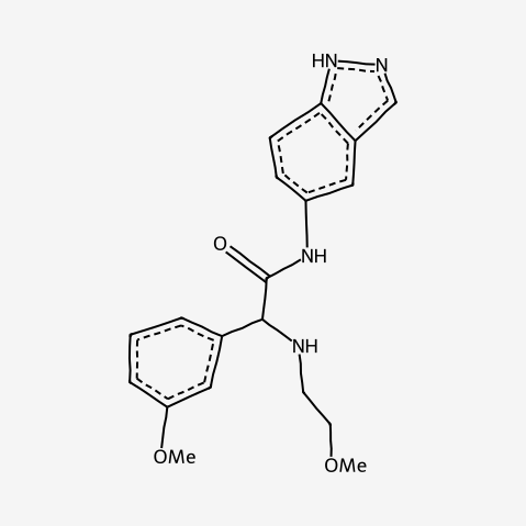 COCCNC(C(=O)Nc1ccc2[nH]ncc2c1)c1cccc(OC)c1